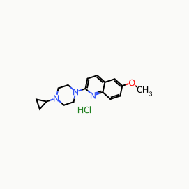 COc1ccc2nc(N3CCN(C4CC4)CC3)ccc2c1.Cl